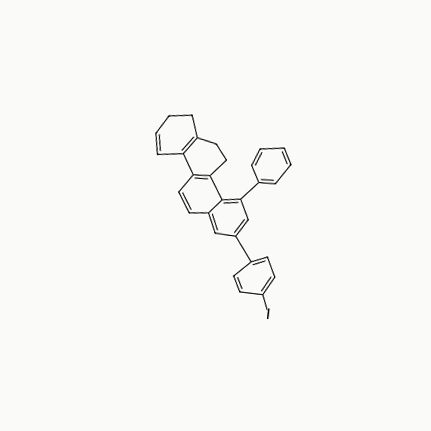 Ic1ccc(-c2cc(-c3ccccc3)c3c4c(ccc3c2)C2=C(CCC=C2)CC4)cc1